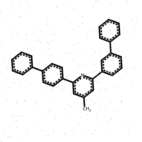 Cc1cc(-c2ccc(-c3ccccc3)cc2)nc(-c2cccc(-c3ccccc3)c2)c1